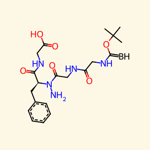 B=C(NCC(=O)NCC(=O)N(N)[C@@H](Cc1ccccc1)C(=O)NCC(=O)O)OC(C)(C)C